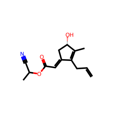 C=CCC1=C(C)[C@@H](O)CC1=CC(=O)OC(C)C#N